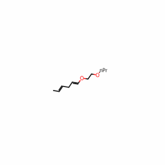 CC=CCC=COCCOCCC